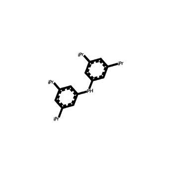 CC(C)c1cc(Pc2cc(C(C)C)cc(C(C)C)c2)cc(C(C)C)c1